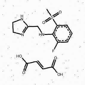 CS(=O)(=O)c1cccc(F)c1NCC1=NCCN1.O=C(O)/C=C/C(=O)O